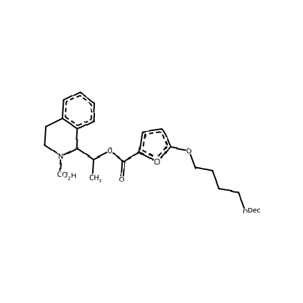 CCCCCCCCCCCCCCOc1ccc(C(=O)OC(C)C2c3ccccc3CCN2C(=O)O)o1